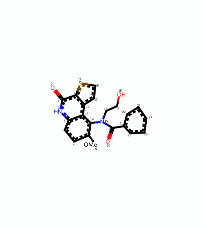 COc1ccc2[nH]c(=O)c3sccc3c2c1N(CCO)C(=O)c1ccccc1